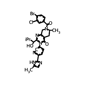 Cc1cnc(-c2ccc(-n3c(C(O)C(C)C)nc4c(c3=O)CC(C)N(C(=O)c3ccc(Br)c(Cl)c3)C4)cn2)[nH]1